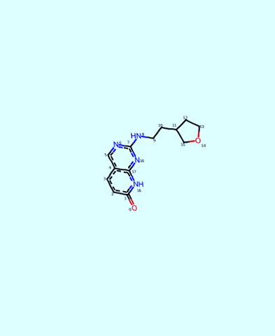 O=c1ccc2cnc(NCCC3CCOC3)nc2[nH]1